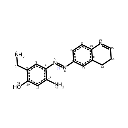 NCc1cc(/N=N/c2ccc3c(c2)CCC=N3)c(N)cc1O